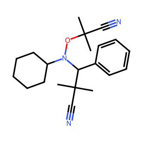 CC(C)(C#N)ON(C1CCCCC1)C(c1ccccc1)C(C)(C)C#N